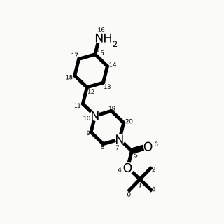 CC(C)(C)OC(=O)N1CCN(CC2CCC(N)CC2)CC1